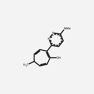 CNc1ccc(C2=C(O)C=CC(C)C=C2)nn1